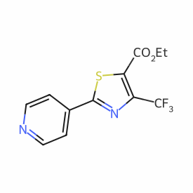 CCOC(=O)c1sc(-c2ccncc2)nc1C(F)(F)F